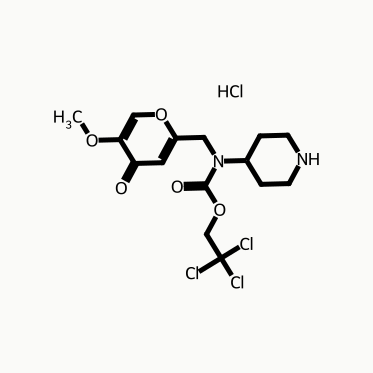 COc1coc(CN(C(=O)OCC(Cl)(Cl)Cl)C2CCNCC2)cc1=O.Cl